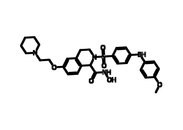 COc1ccc(Bc2ccc(S(=O)(=O)N3CCc4cc(OCCN5CCCCC5)ccc4C3C(=O)NO)cc2)cc1